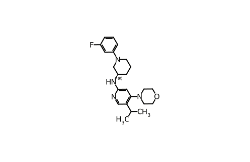 CC(C)c1cnc(N[C@@H]2CCCN(c3cccc(F)c3)C2)cc1N1CCOCC1